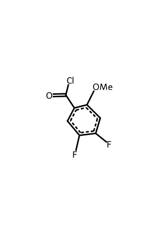 COc1cc(F)c(F)cc1C(=O)Cl